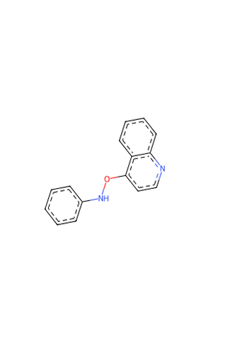 c1ccc(NOc2ccnc3ccccc23)cc1